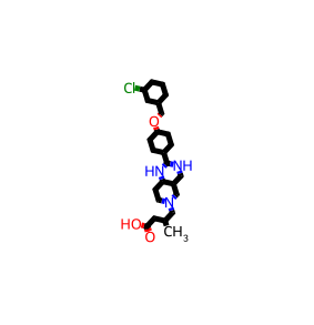 CC(CC(=O)O)CN1CCC2NC(C3CCC(OCC4CCCC(Cl)C4)CC3)NCC2C1